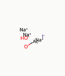 CC(=O)[O-].[I-].[Na+].[Na+].[Na+].[OH-]